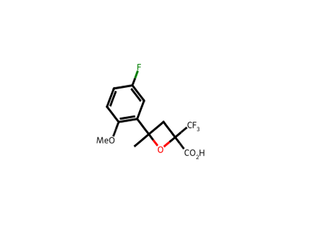 COc1ccc(F)cc1C1(C)CC(C(=O)O)(C(F)(F)F)O1